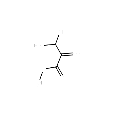 CC(C)C(=O)C(=O)OO